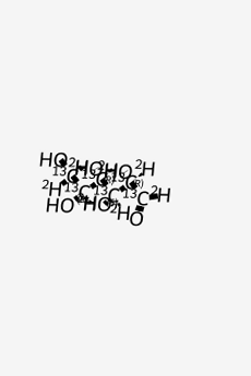 [2H][13C](=O)[13C@]([2H])(O)[13C@@]([2H])(O)[13C@]([2H])(O)[13C@]([2H])(O)[13C]([2H])([2H])O